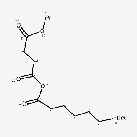 CCCCCCCCCCCCCCCC(=O)OC(=O)CCC(=O)OC(C)C